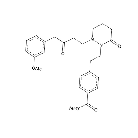 COC(=O)c1ccc(CCN2C(=O)CCCN2CCC(=O)Cc2cccc(OC)c2)cc1